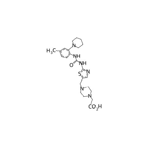 Cc1ccc(NC(=O)Nc2ncc(CN3CCN(CC(=O)O)CC3)s2)c(N2CCCCC2)c1